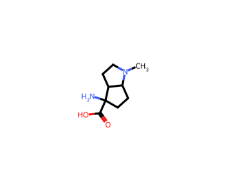 CN1CCC2C1CCC2(N)C(=O)O